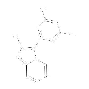 Cc1nc(Cl)nc(-c2c(Cl)nc3ccccn23)n1